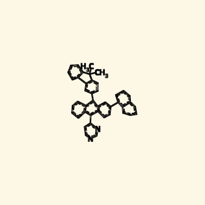 CC1(C)c2ccccc2-c2cc(-c3c4ccccc4c(-c4ccncn4)c4ccc(-c5cccc6ccccc56)cc34)ccc21